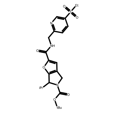 CCS(=O)(=O)c1ccc(CNC(=O)c2cc3c(o2)C(C(C)C)N(C(=O)OC(C)(C)C)C3)nc1